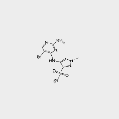 CC(C)S(=O)(=O)c1nn(C)cc1Nc1nc(N)ncc1Br